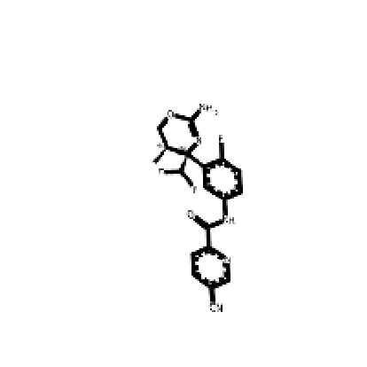 C[C@H]1COC(N)=N[C@@]1(c1cc(NC(=O)c2ccc(C#N)cn2)ccc1F)C(F)F